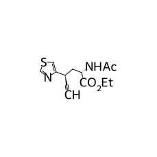 C#C[C@H](C[C@H](NC(C)=O)C(=O)OCC)c1cscn1